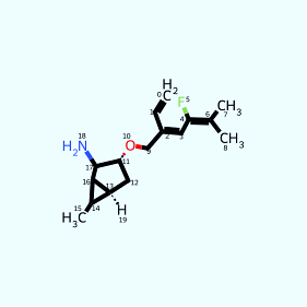 C=C/C(=C\C(F)=C(C)C)CO[C@@H]1C[C@H]2C(C)C2C1N